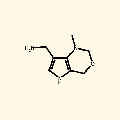 CN1COCc2[nH]cc(CN)c21